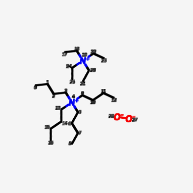 CCCC[N+](CCCC)(CCCC)CCCC.CC[N+](CC)(CC)CC.[O-][O-]